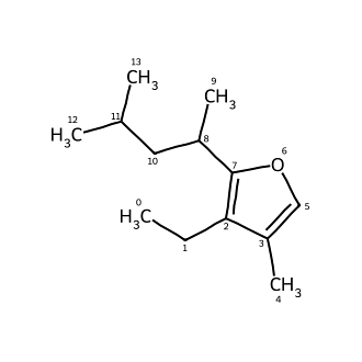 CCc1c(C)coc1C(C)CC(C)C